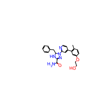 Cc1ccc(OCCO)cc1-c1ccnc(N2N=C(C(N)=O)NC2Cc2ccccc2)c1